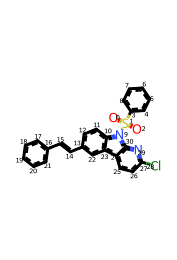 O=S(=O)(c1ccccc1)n1c2ccc(C=Cc3ccccc3)cc2c2ccc(Cl)nc21